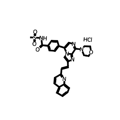 CS(=O)(=O)NC(=O)c1ccc(-c2cnc(N3CCOCC3)c3nc(C=Cc4ccc5ccccc5n4)cn23)cc1.Cl